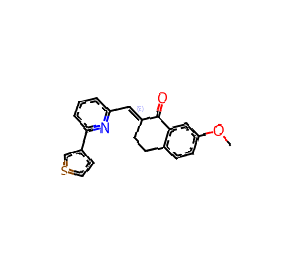 COc1ccc2c(c1)C(=O)/C(=C/c1cccc(-c3ccsc3)n1)CC2